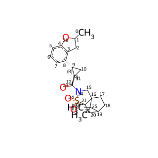 CC1Cc2c(cccc2[C@@H]2C[C@H]2C(=O)N2CC34CCC(CC3S2(=O)=O)C4(C)C)O1